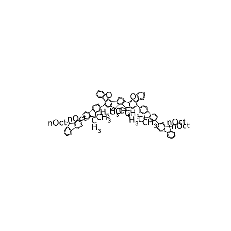 CCCCCCCCC1(CCCCCCCC)c2ccccc2-c2ccc(-c3ccc4c(c3)C(C)(C)c3cc(-c5cc6c(c7oc8ccccc8c57)-c5ccc7c(c5C6(C)C)C(C)(C)c5cc(-c6ccc8c(c6)C(C)(C)c6cc(-c9ccc%10c(c9)C(CCCCCCCC)(CCCCCCCC)c9ccccc9-%10)ccc6-8)c6c(oc8ccccc86)c5-7)ccc3-4)cc21